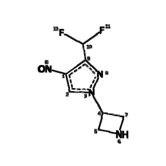 O=Nc1cn(C2CNC2)nc1C(F)F